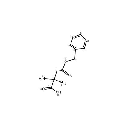 NC(N)(CC(=O)OCc1ccccc1)C(=O)O